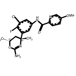 COc1ccc(C(=O)Nc2cc(Cl)c(F)c([C@@]3(C)C[C@@H](C(F)(F)F)OC(N)=N3)c2)nc1